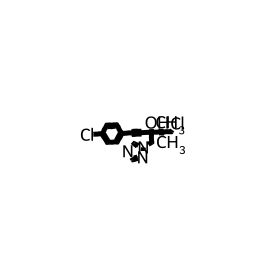 CC(C)(CCl)C(O)(C#Cc1ccc(Cl)cc1)Cn1cncn1